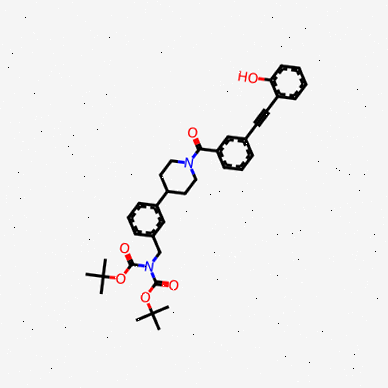 CC(C)(C)OC(=O)N(Cc1cccc(C2CCN(C(=O)c3cccc(C#Cc4ccccc4O)c3)CC2)c1)C(=O)OC(C)(C)C